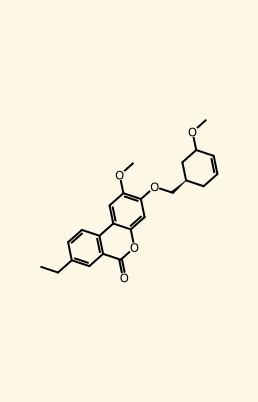 CCc1ccc2c(c1)c(=O)oc1cc(OC[C@@H]3CC=CC(OC)C3)c(OC)cc12